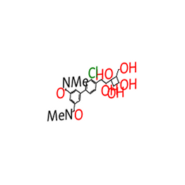 CNC(=O)c1cc(C(=O)NC)cc(-c2ccc(CC(O)C3(O)C(O)C(O)C3CO)c(Cl)c2)c1